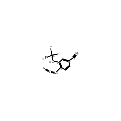 N#Cc1ccc(N=C=S)c(OC(F)(F)F)c1